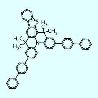 CC1(C)c2cc(-c3ccc(-c4ccccc4)cc3)ccc2N2c3ccc(-c4ccc(-c5ccccc5)cc4)cc3C(C)(C)c3c2c1cc1c3sc2ccccc21